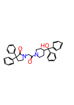 O=C(CN1CCC(c2ccccc2)(c2ccccc2)C1=O)N1CCC(C(O)(c2ccccc2)c2ccccc2)CC1